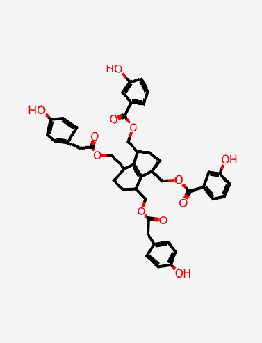 O=C(Cc1ccc(O)cc1)OCC1CCC(COC(=O)Cc2ccc(O)cc2)C2=C1C(COC(=O)c1cccc(O)c1)CCC2COC(=O)c1cccc(O)c1